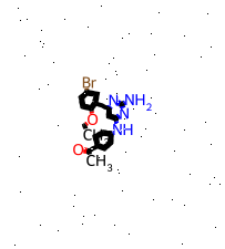 CCOc1ccc(Br)cc1-c1cc(Nc2ccc(C(C)=O)cc2)nc(N)n1